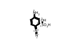 O=S(=O)(O)O.[N-]=[N+]=C1C=CC(N)=CC1